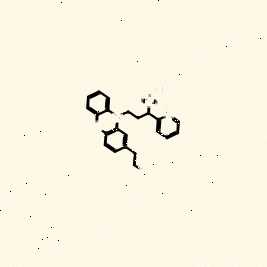 CCCc1ccc2c(c1)N(CCC(c1ccccn1)S(=O)(=O)O)c1ccccc1O2